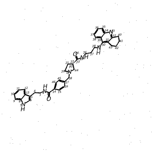 O=C(NCCc1c[nH]c2ccccc12)c1ccc(CN2CC[C@@H](C(=O)NCCCNc3c4c(nc5ccccc35)CCCC4)C2)cc1